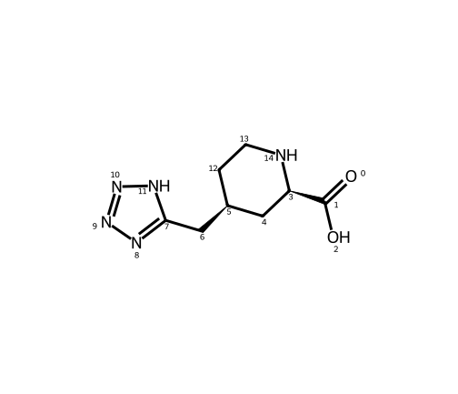 O=C(O)[C@H]1C[C@@H](Cc2nnn[nH]2)CCN1